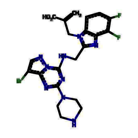 C=C(Cn1c(CNc2nc(N3CCNCC3)nc3c(Br)cnn23)nc2c(F)c(F)ccc21)C(=O)O